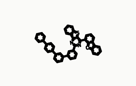 c1ccc(-c2ccc(-c3cccc(-c4cccc(-c5nc(-c6cccc7c6oc6ccccc67)c6sc7ccccc7c6n5)c4)c3)cc2)cc1